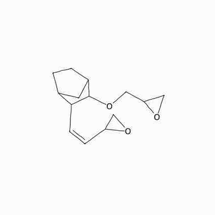 C(=C/C1C2CCC(C2)C1OCC1CO1)/C1CO1